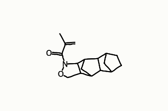 C=C(C)C(=O)N1OCC2C3CC(C4C5CCC(C5)C34)C21